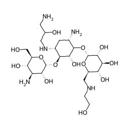 NCC(O)CN[C@@H]1C[C@H](N)C(O[C@H]2O[C@H](CNCCO)[C@@H](O)[C@H](O)[C@H]2O)[C@H](O)[C@H]1O[C@H]1O[C@H](CO)[C@@H](O)[C@H](N)[C@H]1O